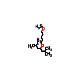 CC(C)CC(CC(C)C)OCCCCCO[SiH3]